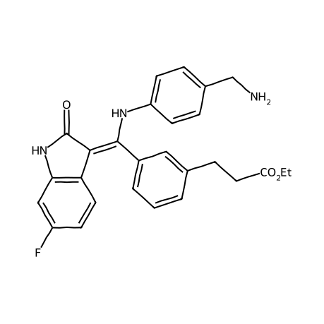 CCOC(=O)CCc1cccc(/C(Nc2ccc(CN)cc2)=C2/C(=O)Nc3cc(F)ccc32)c1